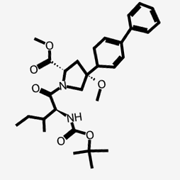 CCC(C)[C@H](NC(=O)OC(C)(C)C)C(=O)N1C[C@](OC)(C2C=CC(c3ccccc3)=CC2)C[C@H]1C(=O)OC